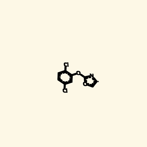 Clc1ccc(Cl)c(Oc2n[c]co2)c1